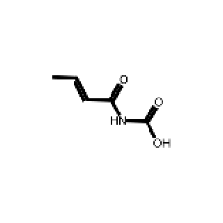 CC=CC(=O)NC(=O)O